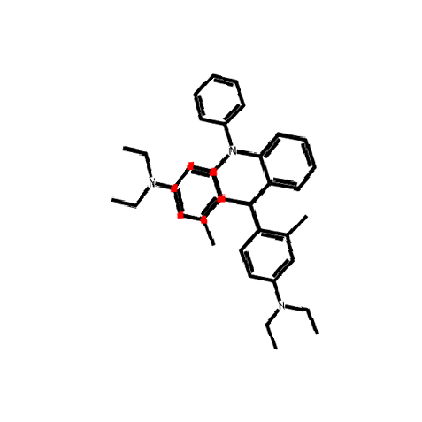 CCN(CC)c1ccc(C(c2ccc(N(CC)CC)cc2C)c2ccccc2N(c2ccccc2)c2ccccc2)c(C)c1